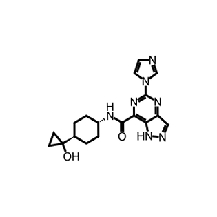 O=C(N[C@H]1CC[C@H](C2(O)CC2)CC1)c1nc(-n2ccnc2)nc2cn[nH]c12